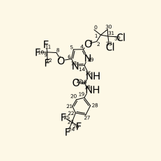 CC1(COc2cc(OCC(F)(F)F)nc(NC(=O)Nc3ccc(C(F)(F)F)cc3)n2)CC1(Cl)Cl